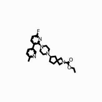 CCOC(=O)N1CC2(CC[C@@H](N3CCN(c4nc(F)ccc4-c4ccc(C)nc4)CC3)C2)C1